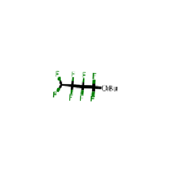 CC(C)COC(F)(F)C(F)(F)C(F)(F)[C](F)F